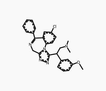 COc1cccc(C(CN(C)C)c2nnc3n2-c2ccc(Cl)cc2C(c2ccccc2)=NC3)c1